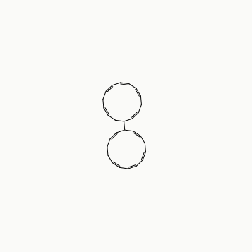 [C]1=CC=CC=CCCC=CC(C2C=CCC=CC=CC=CCC=CC2)C=CC1